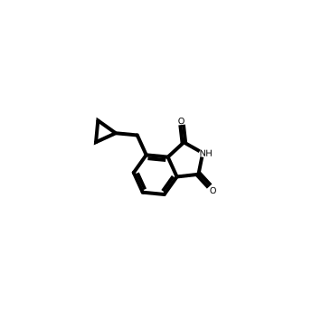 O=C1NC(=O)c2c(CC3CC3)cccc21